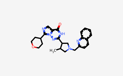 CC1CN(Cc2ccc3ccccc3n2)CC1c1nn2c(C3CCOCC3)ncc2c(=O)[nH]1